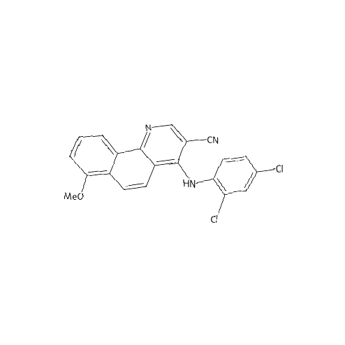 COc1cccc2c1ccc1c(Nc3ccc(Cl)cc3Cl)c(C#N)cnc12